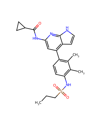 CCCS(=O)(=O)Nc1ccc(-c2cc(NC(=O)C3CC3)nc3[nH]ccc23)c(C)c1C